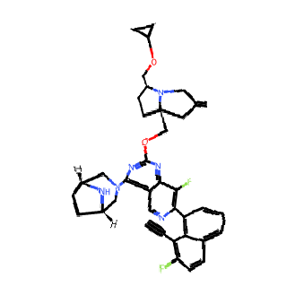 C#Cc1c(F)ccc2cccc(-c3ncc4c(N5C[C@H]6CC[C@@H](C5)N6)nc(OC[C@@]56CC[C@@H](COC7CC7)N5CC(=C)C6)nc4c3F)c12